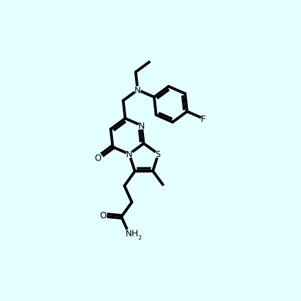 CCN(Cc1cc(=O)n2c(CCC(N)=O)c(C)sc2n1)c1ccc(F)cc1